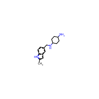 Cc1cc2cc(CNC3CCC(N)CC3)ccc2[nH]1